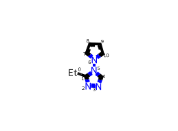 CCc1nn[c]n1-n1cccc1